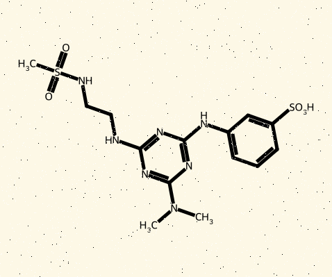 CN(C)c1nc(NCCNS(C)(=O)=O)nc(Nc2cccc(S(=O)(=O)O)c2)n1